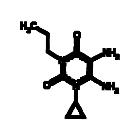 CCCn1c(=O)c(N)c(N)n(C2CC2)c1=O